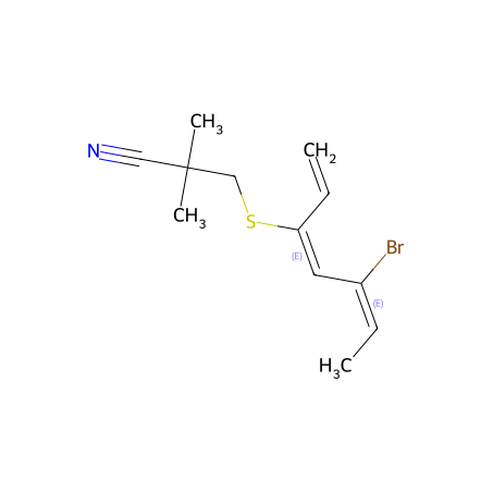 C=C/C(=C\C(Br)=C/C)SCC(C)(C)C#N